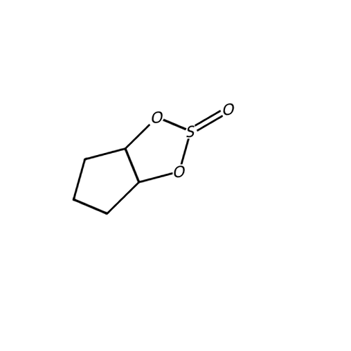 O=S1OC2CCCC2O1